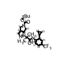 CC(C)(C)OC(=O)N1Cc2cnn(C(C)(C)C(=O)Nc3ccc(C(F)(F)F)cc3C3CC3)c2C1